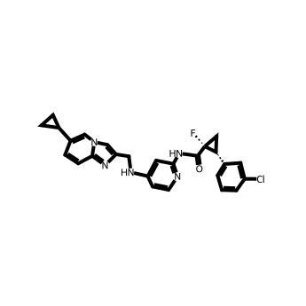 O=C(Nc1cc(NCc2cn3cc(C4CC4)ccc3n2)ccn1)[C@@]1(F)C[C@@H]1c1cccc(Cl)c1